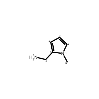 Cn1cccc1CN